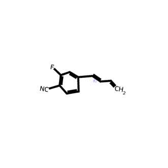 C=C/C=C/c1ccc(C#N)c(F)c1